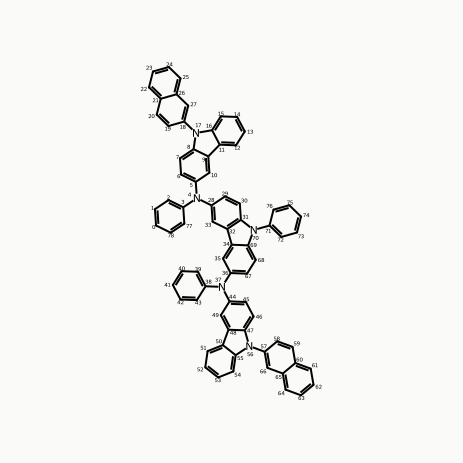 c1ccc(N(c2ccc3c(c2)c2ccccc2n3-c2ccc3ccccc3c2)c2ccc3c(c2)c2cc(N(c4ccccc4)c4ccc5c(c4)c4ccccc4n5-c4ccc5ccccc5c4)ccc2n3-c2ccccc2)cc1